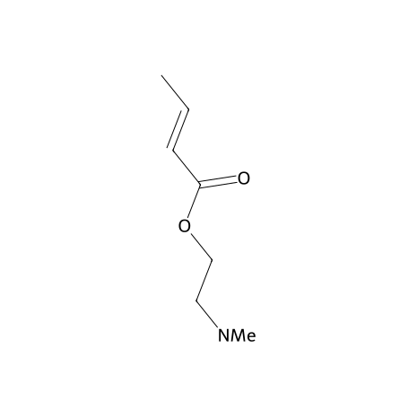 C/C=C/C(=O)OCCNC